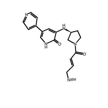 CNCC=CC(=O)N1CC[C@H](Nc2cc(-c3ccncc3)c[nH]c2=O)C1